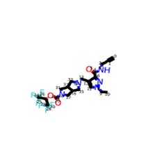 C#CCNC(=O)c1nn(CC)cc1CN1CC2CN(C(=O)OC(C(F)(F)F)C(F)(F)F)CC2C1